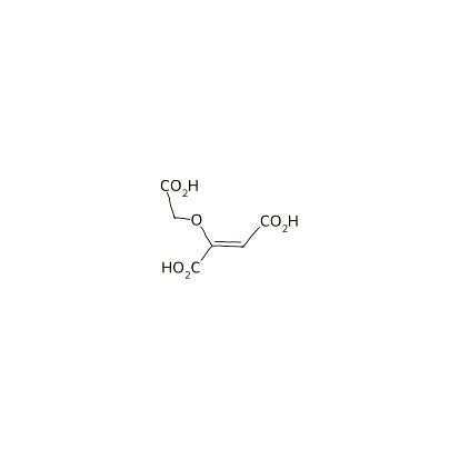 O=C(O)C=C(OCC(=O)O)C(=O)O